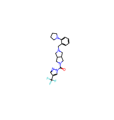 O=C(N1CC2CN(Cc3ccccc3N3CCCC3)CC2C1)n1cc(C(F)(F)F)cn1